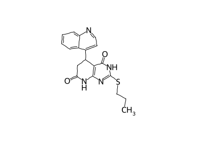 CCCSc1nc2c(c(=O)[nH]1)C(c1ccnc3ccccc13)CC(=O)N2